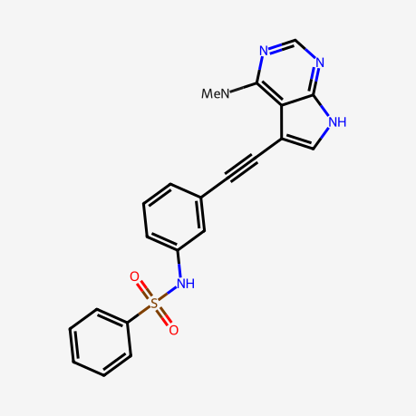 CNc1ncnc2[nH]cc(C#Cc3cccc(NS(=O)(=O)c4ccccc4)c3)c12